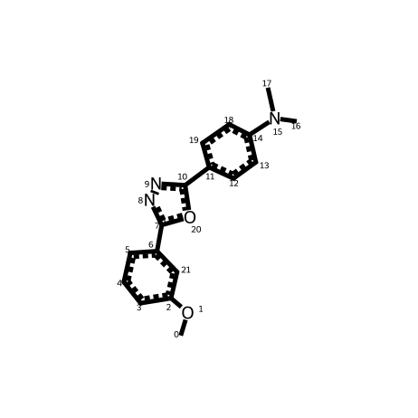 COc1cccc(-c2nnc(-c3ccc(N(C)C)cc3)o2)c1